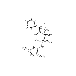 Cc1ncc(C(F)(F)F)cc1NC1=C(S(=O)(=O)O)C(C)(Cl)C(C(=O)c2ccccc2)C=C1